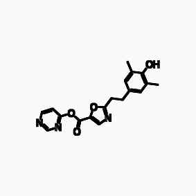 Cc1cc(CCc2ncc(C(=O)Oc3ccncn3)o2)cc(C)c1O